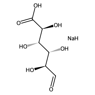 O=C[C@@H](O)[C@@H](O)[C@H](O)[C@H](O)C(=O)O.[NaH]